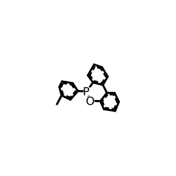 Cc1cccc(P2Oc3ccccc3-c3ccccc32)c1